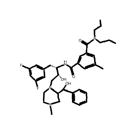 CCCN(CCC)C(=O)c1cc(C)cc(C(=O)N[C@@H](Cc2cc(F)cc(F)c2)[C@H](O)CN2CCN(C)CC2C(O)c2ccccc2)c1